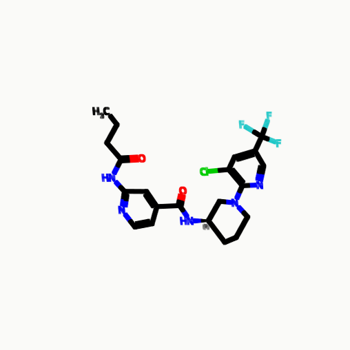 CCCC(=O)Nc1cc(C(=O)N[C@@H]2CCCN(c3ncc(C(F)(F)F)cc3Cl)C2)ccn1